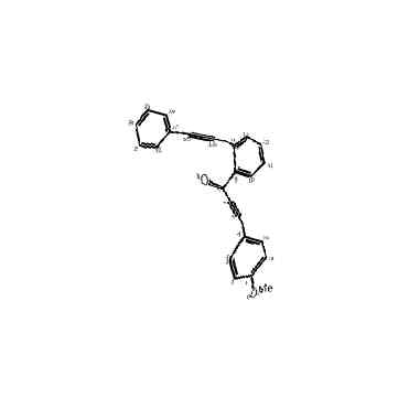 COc1ccc(C#CC(=O)c2ccccc2C#Cc2ccccc2)cc1